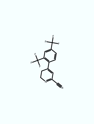 N#CC1=NCCC(c2ccc(C(F)(F)F)cc2C(F)(F)F)=C1